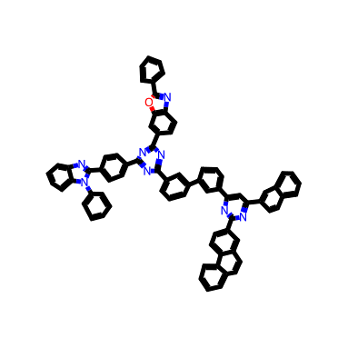 c1ccc(-c2nc3ccc(-c4nc(-c5ccc(-c6nc7ccccc7n6-c6ccccc6)cc5)nc(-c5cccc(-c6cccc(-c7cc(-c8ccc9ccccc9c8)nc(-c8ccc9c(ccc%10ccccc%109)c8)n7)c6)c5)n4)cc3o2)cc1